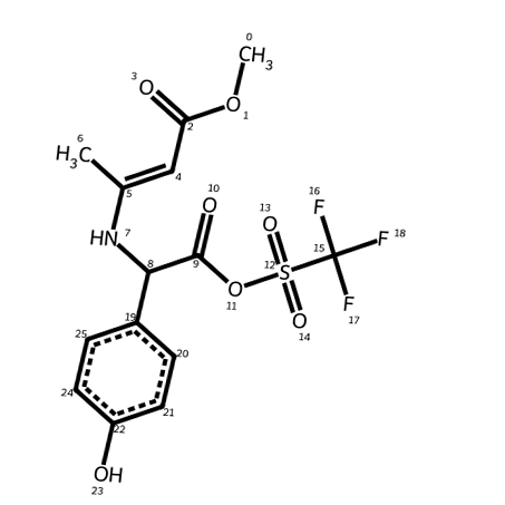 COC(=O)C=C(C)NC(C(=O)OS(=O)(=O)C(F)(F)F)c1ccc(O)cc1